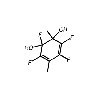 CC1=C(F)C(O)(F)C(C)(O)C(F)=C1F